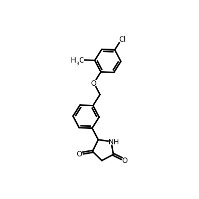 Cc1cc(Cl)ccc1OCc1cccc(C2NC(=O)CC2=O)c1